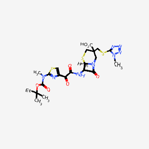 CCC(C)(C)OC(=O)N(C)c1nc(C(=O)C(=O)NC2C(=O)N3CC(CSc4nnnn4C)(C(=O)O)CS[C@H]23)cs1